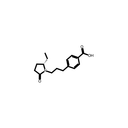 CC[C@H]1CCC(=O)N1CCCc1ccc(C(=O)O)cc1